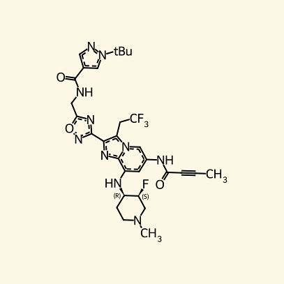 CC#CC(=O)Nc1cc(N[C@@H]2CCN(C)C[C@@H]2F)c2nc(-c3noc(CNC(=O)c4cnn(C(C)(C)C)c4)n3)c(CC(F)(F)F)n2c1